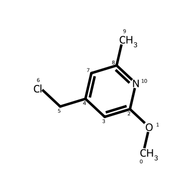 COc1cc(CCl)cc(C)n1